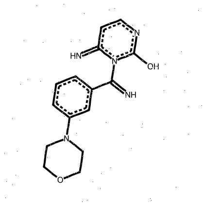 N=C(c1cccc(N2CCOCC2)c1)n1c(O)nccc1=N